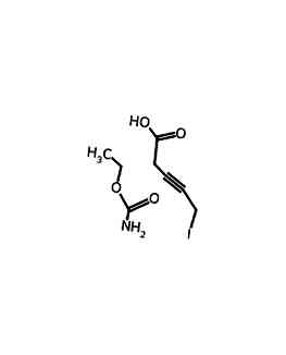 CCOC(N)=O.O=C(O)CC#CCI